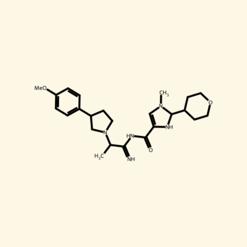 COc1ccc(C2CCN(C(C)C(=N)NC(=O)C3=CN(C)C(C4CCOCC4)N3)C2)cc1